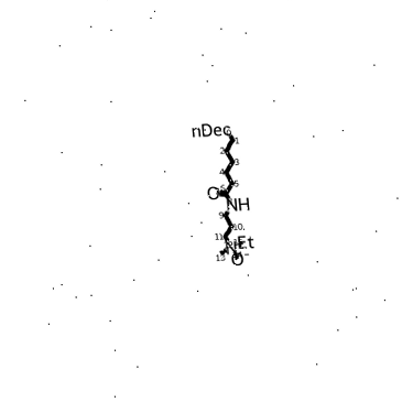 CCCCCCCCCCCCCCCC(=O)NCCC[N+](C)([O-])CC